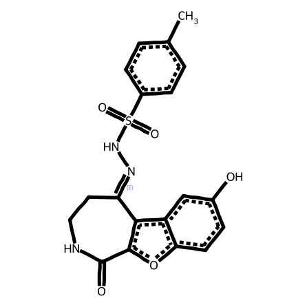 Cc1ccc(S(=O)(=O)N/N=C2\CCNC(=O)c3oc4ccc(O)cc4c32)cc1